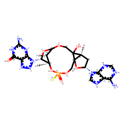 Nc1nc2c(nnn2[C@@H]2OC3OCC4(O)[C@H]5C[C@H](n6cnc7c(N)ncnc76)OC54COP(=O)(S)O[C@@H]2[C@H]3F)c(=O)[nH]1